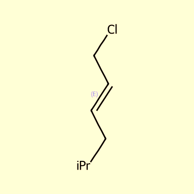 CC(C)C/C=C/CCl